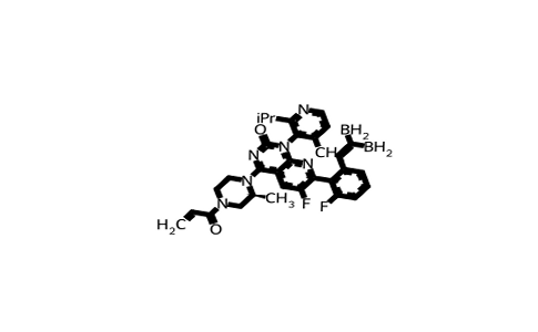 BC(B)=Cc1cccc(F)c1-c1nc2c(cc1F)c(N1CCN(C(=O)C=C)C[C@@H]1C)nc(=O)n2-c1c(C)ccnc1C(C)C